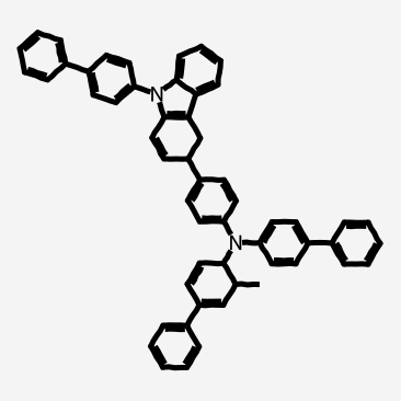 CC1C=C(c2ccccc2)C=CC1N(c1ccc(-c2ccccc2)cc1)c1ccc(C2C=Cc3c(c4ccccc4n3-c3ccc(-c4ccccc4)cc3)C2)cc1